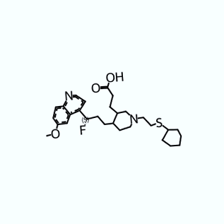 COc1ccc2nccc([C@@H](F)CCC3CCN(CCSC4CCCCC4)CC3CCC(=O)O)c2c1